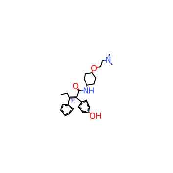 CC/C(=C(\C(=O)N[C@H]1CC[C@H](OCCN(C)C)CC1)c1ccc(O)cc1)c1ccccc1